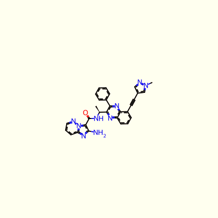 C[C@H](NC(=O)c1c(N)nc2cccnn12)c1nc2cccc(C#Cc3cnn(C)c3)c2nc1-c1ccccc1